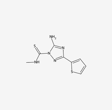 CNC(=S)n1nc(-c2cccs2)nc1N